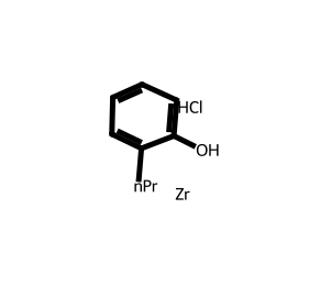 CCCc1ccccc1O.Cl.[Zr]